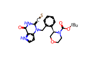 CC(C)(C)OC(=O)N1CCOC[C@H]1c1ccccc1CN1C(=C=S)NC(=O)c2[nH]ccc21